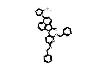 O=C1c2ccc(N3CCC[C@H]3C(F)(F)F)c3cccc(c23)N1c1ccc(OCc2ccccc2)nc1OCc1ccccc1